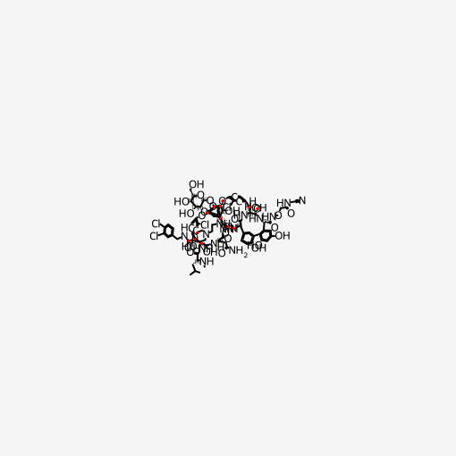 CN[C@H](CC(C)C)C(=O)N[C@H]1C(=O)N[C@@H](CC(N)=O)C(=O)N[C@H]2C(=O)N[C@H]3C(=O)N[C@H](C(=O)N[C@@H](C(=O)NOCC(=O)NC#N)c4cc(O)cc(O)c4-c4cc3ccc4O)[C@H](O)c3ccc(c(Cl)c3)Oc3cc2cc(c3O[C@@H]2O[C@H](CO)[C@@H](O)[C@H](O)[C@H]2O[C@H]2C[C@](C)(NCCN3CCN(C(=O)NCc4ccc(Cl)c(Cl)c4)CC3)[C@H](O)[C@H](C)O2)Oc2ccc(cc2Cl)[C@H]1O